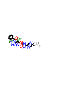 Cc1cnc(CNC(=O)Oc2n[nH]c(NC(=O)c3ccccc3Cl)c2Br)cn1